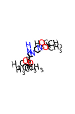 CC(C)(C)OC(=O)N1CCC(N2CC(B3OC(C)(C)C(C)(C)O3)=CN2)CC1